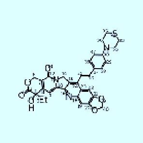 CC[C@@]1(O)C(=O)OCc2c1cc1n(c2=O)Cc2c-1nc1cc3c(cc1c2CCc1ccc(N2CCSCC2)cc1)OCO3